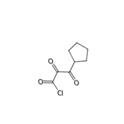 O=C(Cl)C(=O)C(=O)C1CCCC1